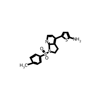 Cc1ccc(S(=O)(=O)N2CCc3c(-c4ccc(N)s4)ccnc32)cc1